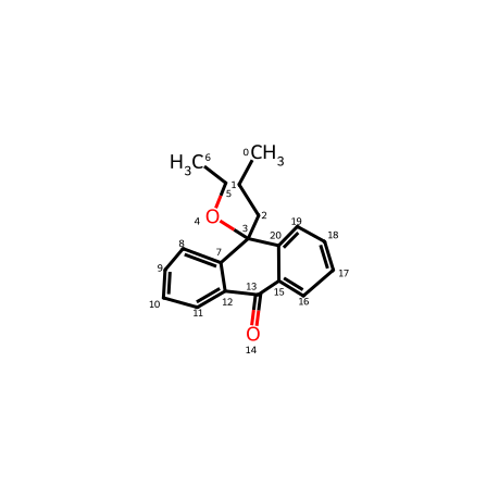 CCCC1(OCC)c2ccccc2C(=O)c2ccccc21